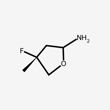 C[C@]1(F)COC(N)C1